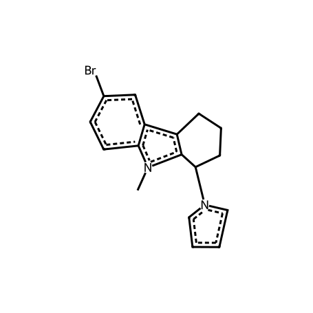 Cn1c2c(c3cc(Br)ccc31)CCCC2n1cccc1